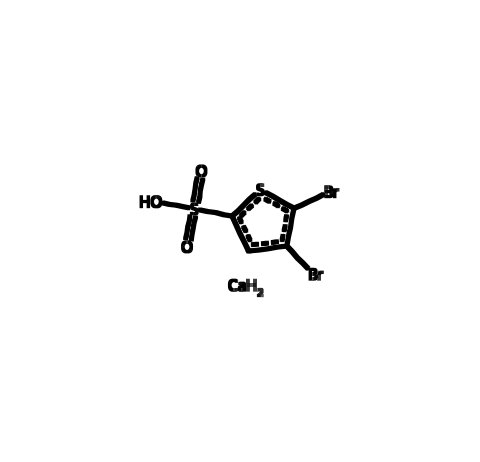 O=S(=O)(O)c1cc(Br)c(Br)s1.[CaH2]